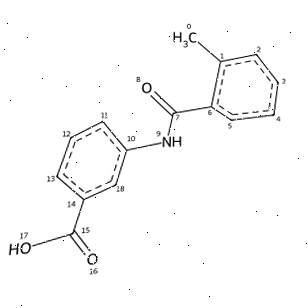 Cc1ccccc1C(=O)Nc1cccc(C(=O)O)c1